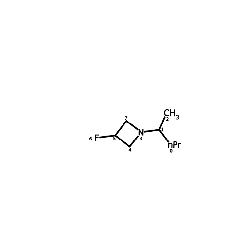 CCCC(C)N1CC(F)C1